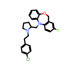 Fc1ccc2c(c1)COc1ccccc1N2CC1CCCN1CCc1ccc(Cl)cc1